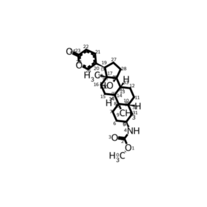 COC(=O)N[C@H]1CC[C@@]2(C)[C@H](CC[C@@H]3[C@@H]2CC[C@]2(C)[C@@H](c4ccc(=O)oc4)CC[C@]32O)C1